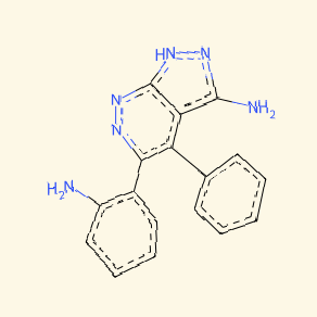 Nc1ccccc1-c1nnc2[nH]nc(N)c2c1-c1ccccc1